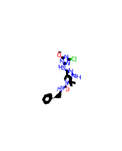 COc1nc(Cl)nc(Nc2n[nH]c3c2CN(C(=O)NC2C[C@@H]2c2ccccc2)C3(C)C)n1